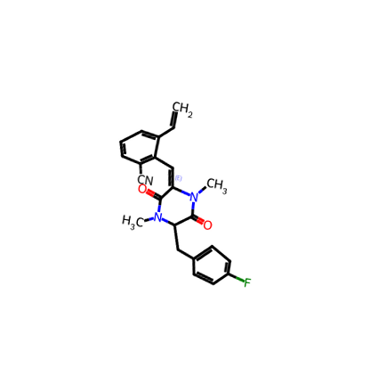 C=Cc1cccc(C#N)c1/C=C1\C(=O)N(C)C(Cc2ccc(F)cc2)C(=O)N1C